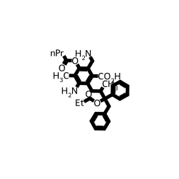 CCCC(=O)Oc1c(C)c(N)c(CC(C)C(Cc2ccccc2)(OC(=O)CC)c2ccccc2)c(C(=O)O)c1CN